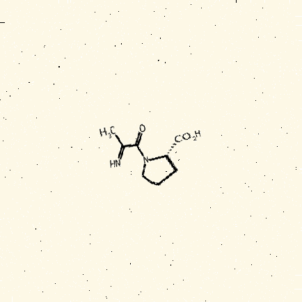 CC(=N)C(=O)N1CCC[C@H]1C(=O)O